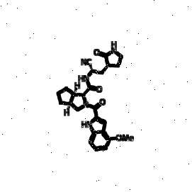 COc1cccc2[nH]c(C(=O)N3C[C@H]4CCC[C@H]4[C@H]3C(=O)N[C@H](C#N)C[C@@H]3CCNC3=O)cc12